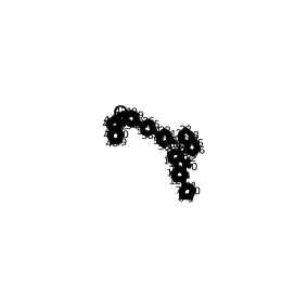 CC1(C)c2cc(-c3ccccc3)ccc2-c2ccc(N(C3=CCCc4ccccc43)c3ccc(C4=CC=C(c5ccc6oc7ccc8ccccc8c7c6c5)CC4)cc3)cc21